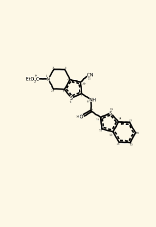 CCOC(=O)N1CCc2c(sc(NC(=O)c3cc4ccccc4s3)c2C#N)C1